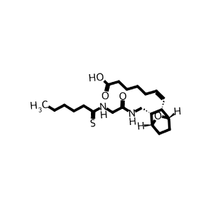 CCCCCC(=S)NCC(=O)NC[C@@H]1[C@H](/C=C\CCCCC(=O)O)[C@@H]2CC[C@H]1O2